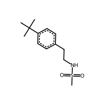 CC(C)(C)c1ccc(CCNS(C)(=O)=O)cc1